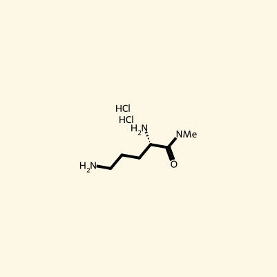 CNC(=O)[C@@H](N)CCCN.Cl.Cl